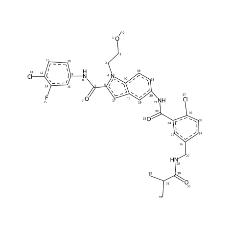 COCCn1c(C(=O)Nc2ccc(Cl)c(F)c2)cc2cc(NC(=O)c3cc(CNC(=O)C(C)C)ccc3Cl)ccc21